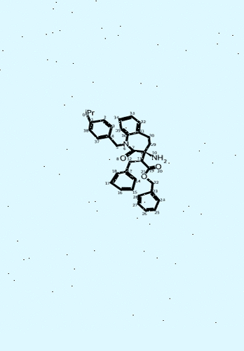 CC(C)c1ccc(CN2C(=O)[C@@](N)([C@H](Cc3ccccc3)C(=O)OCc3ccccc3)CCc3ccccc32)cc1